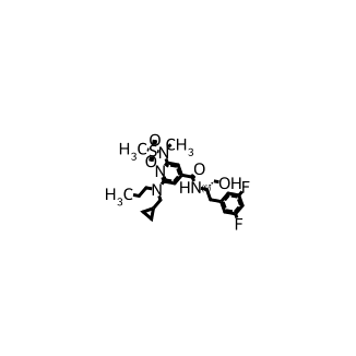 CCCN(CC1CC1)c1cc(C(=O)N[C@H](CO)Cc2cc(F)cc(F)c2)cc(N(C)S(C)(=O)=O)n1